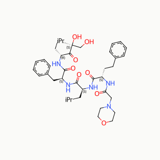 CC(C)C[C@H](NC(=O)[C@H](CCc1ccccc1)NC(=O)CN1CCOCC1)C(=O)N[C@@H](Cc1ccccc1)C(=O)N[C@H](CC(C)C)C(=O)[C@@](C)(O)CO